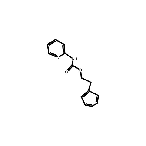 O=C(Nc1ccccn1)OCCc1ccccc1